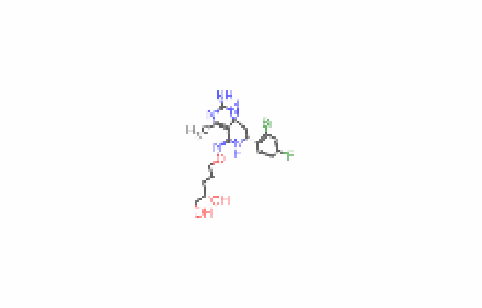 Cc1nc(N)nc2c1/C(=N/OCCC[C@H](O)CO)N[C@@H](c1ccc(F)cc1Br)C2